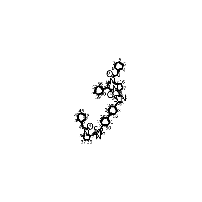 O=C(Cc1ccccc1)/N=C/C(C(=O)N1CCC[C@H]1c1ncc(-c2ccc(-c3ccc(-c4cnc([C@@H]5CCCN5C(=O)Cc5ccccc5)s4)cc3)cc2)s1)c1ccccc1